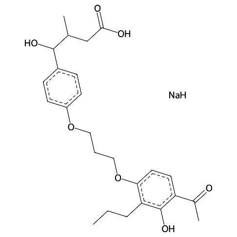 CCCc1c(OCCCOc2ccc(C(O)C(C)CC(=O)O)cc2)ccc(C(C)=O)c1O.[NaH]